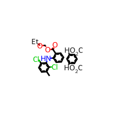 CCOCOC(=O)c1ccccc1Nc1c(Cl)ccc(C)c1Cl.O=C(O)c1cccc(C(=O)O)c1